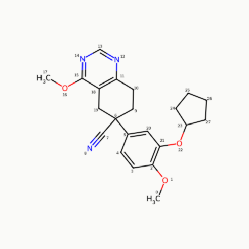 COc1ccc(C2(C#N)CCc3ncnc(OC)c3C2)cc1OC1CCCC1